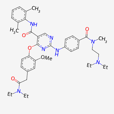 CCN(CC)CCN(C)C(=O)c1ccc(Nc2ncc(C(=O)Nc3c(C)cccc3C)c(Oc3ccc(CC(=O)N(CC)CC)cc3OC)n2)cc1